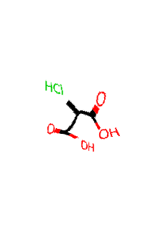 CC(C(=O)O)C(=O)O.Cl